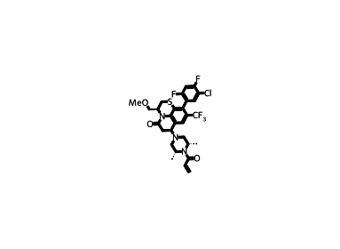 C=CC(=O)N1[C@H](C)CN(C2CC(=O)N3c4c2cc(C(F)(F)F)c(-c2cc(Cl)c(F)cc2F)c4SC[C@@H]3COC)C[C@@H]1C